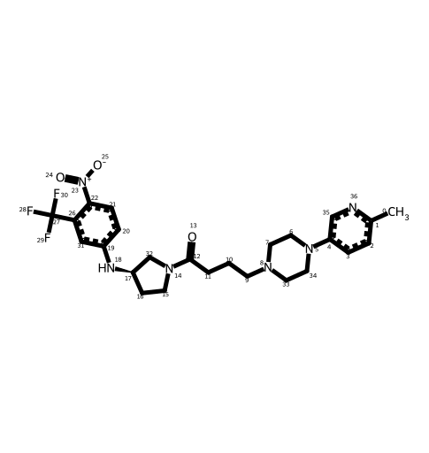 Cc1ccc(N2CCN(CCCC(=O)N3CC[C@@H](Nc4ccc([N+](=O)[O-])c(C(F)(F)F)c4)C3)CC2)cn1